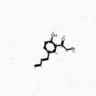 C=CC=Cc1ccc(O)c(C(=O)CBr)c1